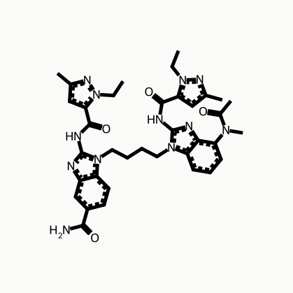 CCn1nc(C)cc1C(=O)Nc1nc2cc(C(N)=O)ccc2n1CCCCn1c(NC(=O)c2cc(C)nn2CC)nc2c(N(C)C(C)=O)cccc21